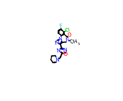 CN1Cc2c(-c3noc(CN4CCCCC4)n3)ncn2-c2ccc(F)c(Cl)c2C1=O